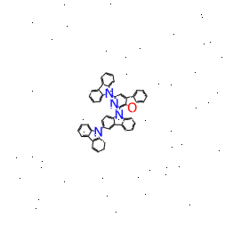 C1=Cc2c(n(-c3ccc4c(c3)c3ccccc3n4-c3nc(-n4c5ccccc5c5ccccc54)cc4c3oc3ccccc34)c3ccccc23)CC1